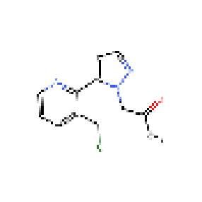 CC(=O)Cn1nccc1-c1ncccc1CCl